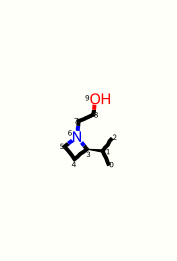 CC(C)[C@H]1CCN1CCO